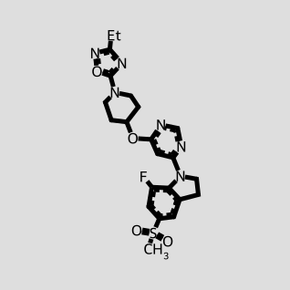 CCc1noc(N2CCC(Oc3cc(N4CCc5cc(S(C)(=O)=O)cc(F)c54)ncn3)CC2)n1